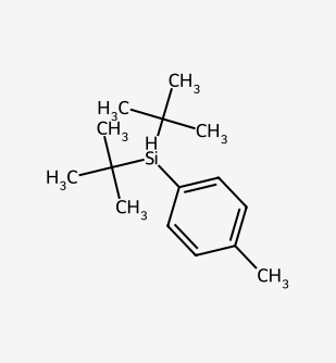 Cc1ccc([SiH](C(C)(C)C)C(C)(C)C)cc1